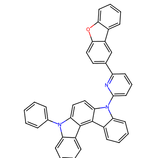 c1ccc(-n2c3ccccc3c3c4c5ccccc5n(-c5cccc(-c6ccc7oc8ccccc8c7c6)n5)c4ccc32)cc1